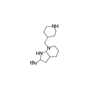 CC(C)(C)C1CC2CCCN(CC3CCNCC3)C2N1